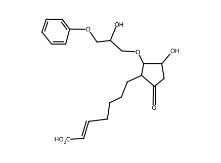 O=C(O)C=CCCCCC1C(=O)CC(O)C1OCC(O)COc1ccccc1